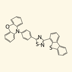 c1ccc2c(c1)Oc1ccccc1N2c1ccc(-c2nc(-c3cccc4c3sc3ccccc34)ns2)cc1